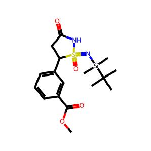 COC(=O)c1cccc(C2CC(=O)NS2(=O)=N[Si](C)(C)C(C)(C)C)c1